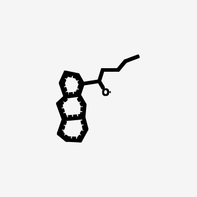 CCCCC([O])c1cccc2cc3ccccc3cc12